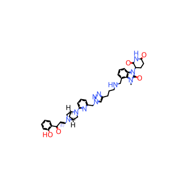 Cn1c(=O)n(C2CCC(=O)NC2=O)c2cccc(CNCCCc3cn(Cc4cccc(N5C[C@H]6C[C@@H]5CN6/C=C/C(=O)c5ccccc5O)n4)nn3)c21